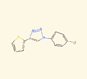 Clc1ccc(-n2cc(-c3cccs3)nn2)cc1